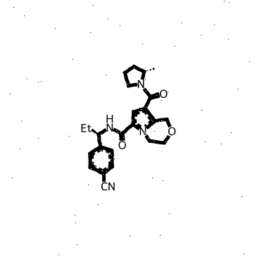 CC[C@@H](NC(=O)c1cc(C(=O)N2CCC[C@@H]2C)c2n1CCOC2)c1ccc(C#N)cc1